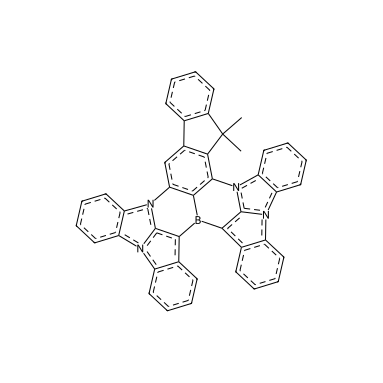 CC1(C)c2ccccc2-c2cc3c4c(c21)-n1c2ccccc2n2c5ccccc5c(c12)B4c1c2ccccc2n2c4ccccc4n-3c12